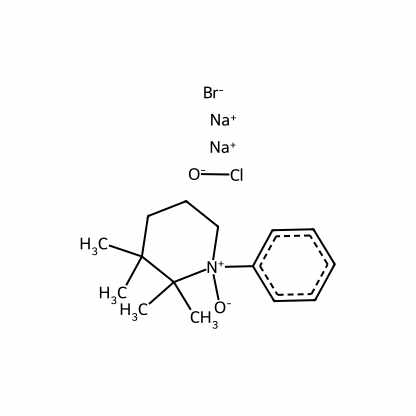 CC1(C)CCC[N+]([O-])(c2ccccc2)C1(C)C.[Br-].[Na+].[Na+].[O-]Cl